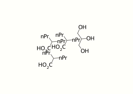 CCCC(CCC)C(=O)O.CCCC(CCC)C(=O)O.CCCC(CCC)C(=O)O.OCC(O)CO